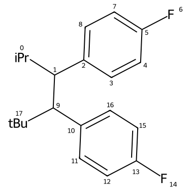 CC(C)C(c1ccc(F)cc1)C(c1ccc(F)cc1)C(C)(C)C